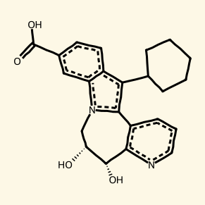 O=C(O)c1ccc2c(C3CCCCC3)c3n(c2c1)C[C@@H](O)[C@@H](O)c1ncccc1-3